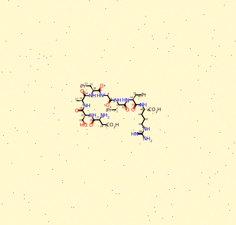 CC(C)C[C@H](NC(=O)CNC(=O)[C@H](CC(C)C)NC(=O)[C@H](C)NC(=O)[C@H](CO)NC(=O)[C@@H](N)CC(=O)O)C(=O)N[C@@H](CC(C)C)C(=O)N[C@@H](CCCNC(=N)N)C(=O)O